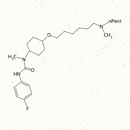 CCCCCN(C)CCCCCCOC1CCC(N(C)C(=O)Nc2ccc(F)cc2)CC1